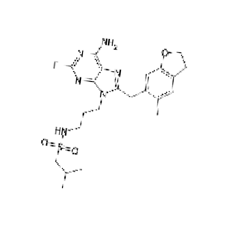 Cc1cc2c(cc1Cc1nc3c(N)nc(F)nc3n1CCCNS(=O)(=O)CC(C)C)OCC2